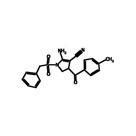 Cc1ccc(C(=O)C2CN(S(=O)(=O)Cc3ccccc3)C(N)=C2C#N)cc1